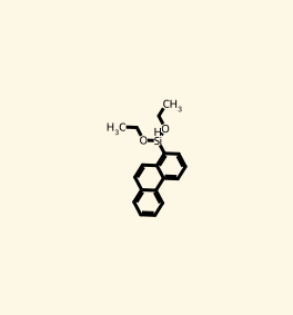 CCO[SiH](OCC)c1cccc2c1ccc1ccccc12